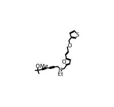 CCN(CC#CC#CC(C)(C)OC)Cc1ccc(C=CCOCc2ccsc2)o1